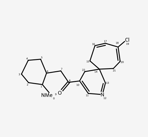 CNC1CCCCC1CC(=O)C1=CN=CC2(CC=CC(Cl)=CC2)C1